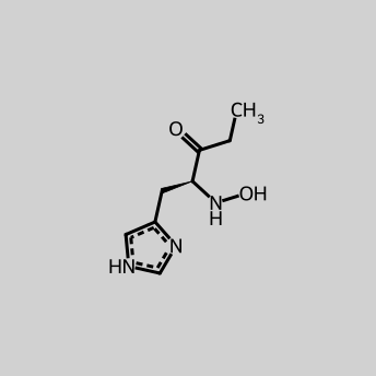 CCC(=O)[C@H](Cc1c[nH]cn1)NO